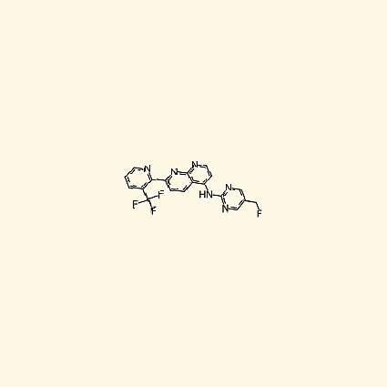 FCc1cnc(Nc2ccnc3nc(-c4ncccc4C(F)(F)F)ccc23)nc1